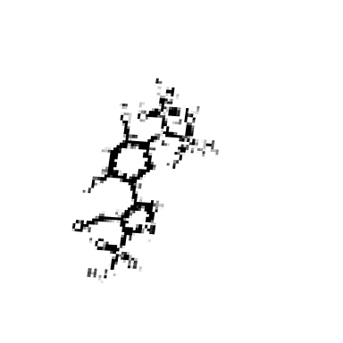 CS(=O)(=O)c1[nH]nc(-c2cc(N(S(C)(=O)=O)S(C)(=O)=O)c(Cl)cc2F)c1CCl